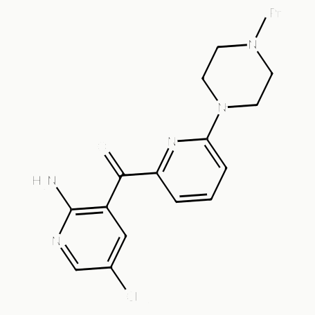 Cc1cnc(N)c(C(=O)c2cccc(N3CCN(C(C)C)CC3)n2)c1